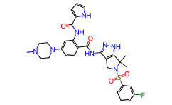 CN1CCN(c2ccc(C(=O)Nc3n[nH]c4c3CN(S(=O)(=O)c3cccc(F)c3)C4(C)C)c(NC(=O)c3ccc[nH]3)c2)CC1